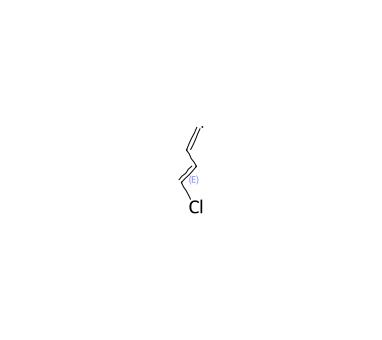 [CH]=C/C=C/Cl